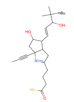 CC#CC12CC(O)C(/C=C/C(O)C(C)(C)CCCC)C1CC(CCCC(=O)S)=N2